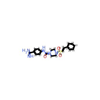 N=C(N)c1ccc(NC(=O)N2CCN(S(=O)(=O)C=Cc3ccccc3)CC2)cc1